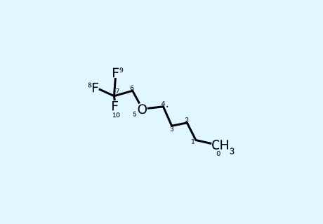 CCCC[CH]OCC(F)(F)F